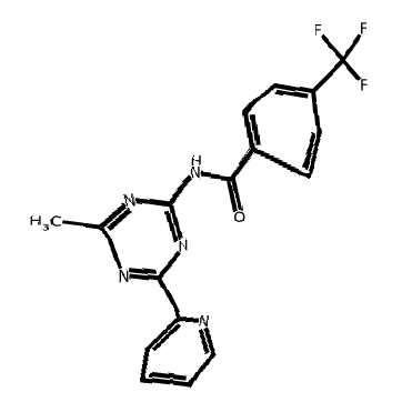 Cc1nc(NC(=O)c2ccc(C(F)(F)F)cc2)nc(-c2ccccn2)n1